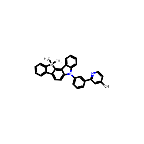 C[Si]1(C)c2ccccc2-c2ccc3c(c21)c1ccccc1n3-c1cccc(-c2cc(C#N)ccn2)c1